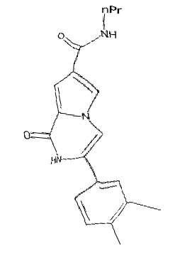 CCCNC(=O)c1cc2c(=O)[nH]c(-c3ccc(C)c(C)c3)cn2c1